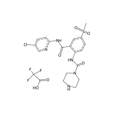 CS(=O)(=O)c1ccc(NC(=O)N2CCNCC2)c(C(=O)Nc2ccc(Cl)cn2)c1.O=C(O)C(F)(F)F